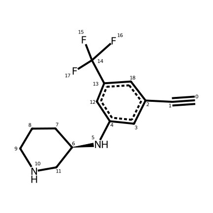 C#Cc1cc(N[C@@H]2CCCNC2)cc(C(F)(F)F)c1